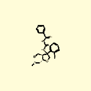 COC[C@H]1OC[C@@](NC(=S)NC(=O)c2ccccc2)(c2ccccc2F)[C@@H]1CO